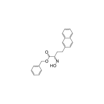 O=C(OCc1ccccc1)C(CCc1ccc2ccccc2c1)=NO